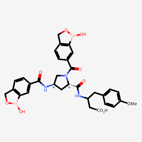 COc1ccc(CC(CC(=O)O)NC(=O)[C@@H]2C[C@@H](NC(=O)c3ccc4c(c3)B(O)OC4)CN2C(=O)c2ccc3c(c2)B(O)OC3)cc1